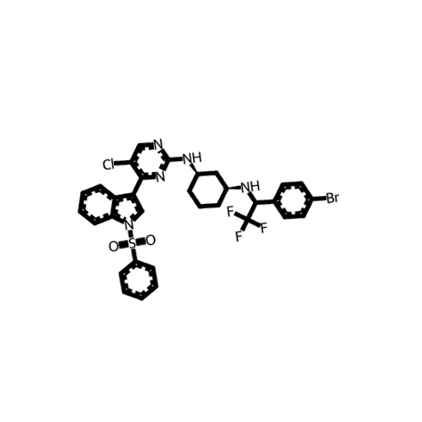 O=S(=O)(c1ccccc1)n1cc(-c2nc(N[C@@H]3CCC[C@H](NC(c4ccc(Br)cc4)C(F)(F)F)C3)ncc2Cl)c2ccccc21